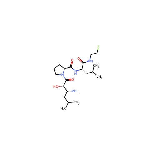 CC(C)C[C@H](NC(=O)[C@@H]1CCCN1C(=O)[C@@H](O)[C@H](N)CC(C)C)C(=O)NCCF